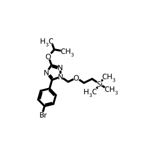 CC(C)Oc1nc(-c2ccc(Br)cc2)n(COCC[Si](C)(C)C)n1